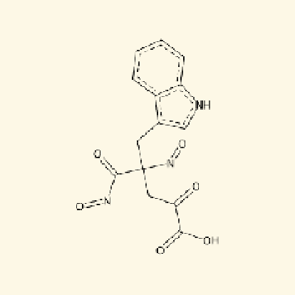 O=NC(=O)C(CC(=O)C(=O)O)(Cc1c[nH]c2ccccc12)N=O